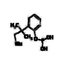 CC(C)(C)CC(C)(C)c1ccccc1OP(O)O